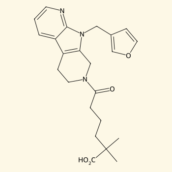 CC(C)(CCCC(=O)N1CCc2c(n(Cc3ccoc3)c3ncccc23)C1)C(=O)O